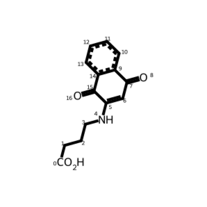 O=C(O)CCCNC1=CC(=O)c2ccccc2C1=O